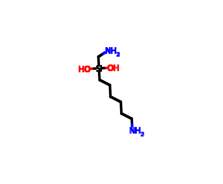 NCCCCCC[Si](O)(O)CN